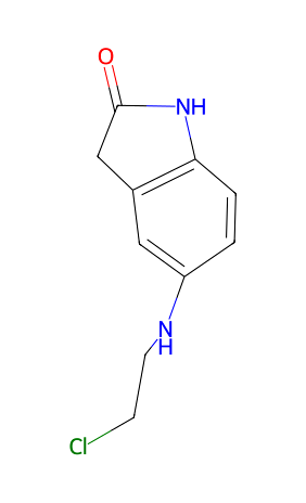 O=C1Cc2cc(NCCCl)ccc2N1